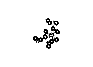 CC1(C)c2ccccc2-c2cc3c4ccccc4n(-c4cc(-n5c6ccccc6c6cc(N(c7ccccc7)c7ccc8ccccc8c7)ccc65)nc(-n5c6ccccc6c6cc(-c7ccc8oc9ccccc9c8c7)ccc65)n4)c3cc21